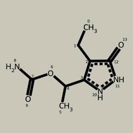 CCc1c(C(C)OC(N)=O)[nH][nH]c1=O